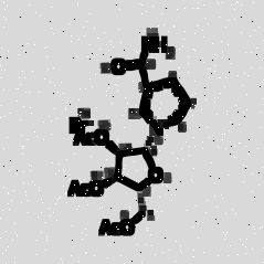 CC(=O)OC[C@H]1O[C@@H]([n+]2cccc(C(N)=O)c2)[C@H](OC(C)=O)[C@@H]1OC(C)=O.[Br-]